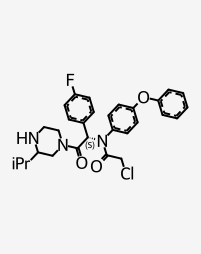 CC(C)C1CN(C(=O)[C@H](c2ccc(F)cc2)N(C(=O)CCl)c2ccc(Oc3ccccc3)cc2)CCN1